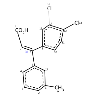 Cc1cccc(/C(=C/C(=O)O)c2ccc(Cl)c(Cl)c2)c1